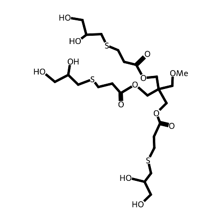 COCC(COC(=O)CCSCC(O)CO)(COC(=O)CCSCC(O)CO)COC(=O)CCSCC(O)CO